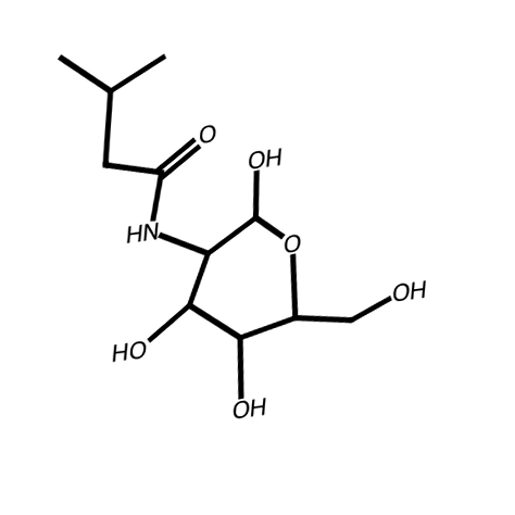 CC(C)CC(=O)NC1C(O)OC(CO)C(O)C1O